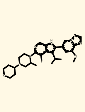 COc1cc(-c2[nH]c3cnc(N4CCN(C5CCOCC5)CC4C)c(F)c3c2C(C)C)cn2ncnc12